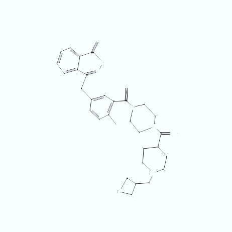 O=C(c1cc(Cc2n[nH]c(=O)c3ccccc23)ccc1F)N1CCN(C(=O)C2CCN(CC3CNC3)CC2)CC1